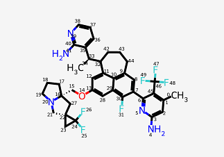 Cc1cc(N)nc(-c2cc3c4c(cc(OC[C@@]56CCCN5C[C@]5(CC5(F)F)C6)cc4c2F)C([C@@H](C)c2cccnc2N)CCC3)c1C(F)(F)F